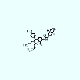 C\C=C/C=C(C)/C(CCCO)=C(/C1=CC=C(O)CC1)c1ccc(NC(=O)CN2C[C@H]3CNC[C@H]3C2)cc1